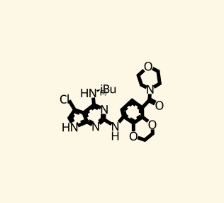 CC[C@@H](C)Nc1nc(Nc2ccc(C(=O)N3CCOCC3)c3c2OCCO3)nc2[nH]cc(Cl)c12